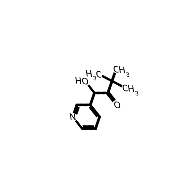 CC(C)(C)C(=O)C(O)c1cccnc1